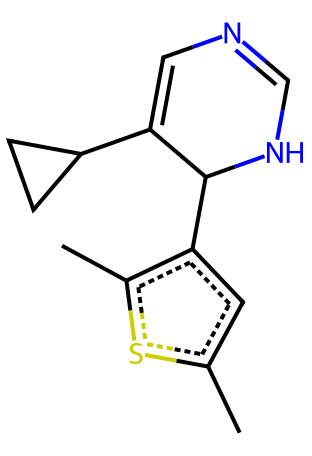 Cc1cc(C2NC=NC=C2C2CC2)c(C)s1